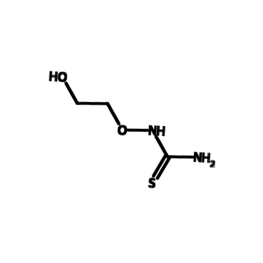 NC(=S)NOCCO